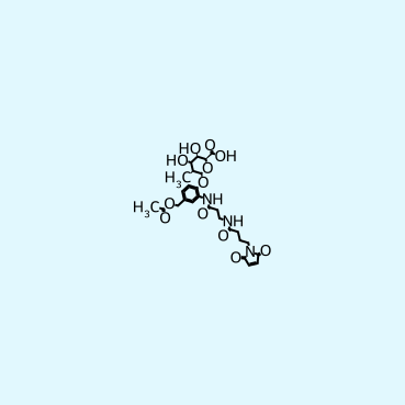 CC(=O)OCc1ccc(O[C@@H]2O[C@H](C(=O)O)[C@@H](O)C(O)[C@H]2C)c(NC(=O)CCNC(=O)CCCN2C(=O)C=CC2=O)c1